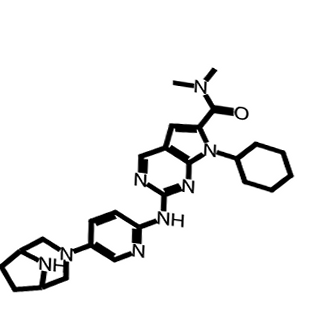 CN(C)C(=O)c1cc2cnc(Nc3ccc(N4CC5CCC(C4)N5)cn3)nc2n1C1CCCCC1